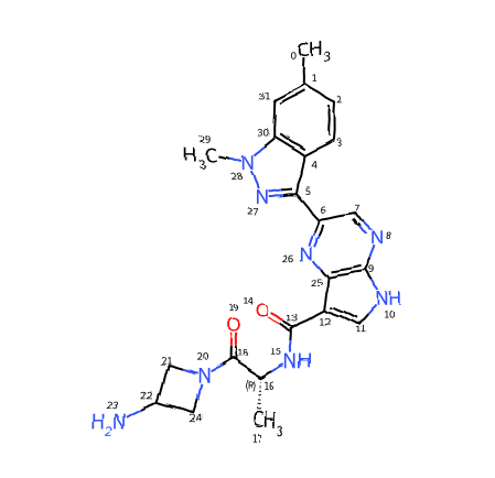 Cc1ccc2c(-c3cnc4[nH]cc(C(=O)N[C@H](C)C(=O)N5CC(N)C5)c4n3)nn(C)c2c1